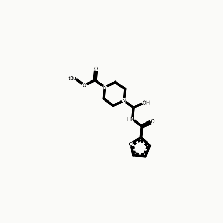 CC(C)(C)OC(=O)N1CCN(C(O)NC(=O)c2ccco2)CC1